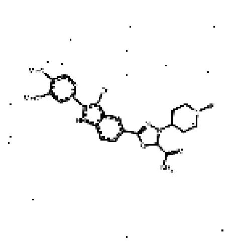 CCc1c(-c2ccc(OC)c(OC)c2)[nH]c2ccc(C3=NN(C4CCN(C(C)C)CC4)C(C(N)=O)O3)cc12